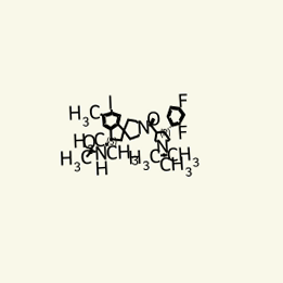 CC(=O)NC(C)(C)[C@H]1CC2(CCN(C(=O)C3CN(C(C)(C)C)C[C@H]3c3ccc(F)cc3F)CC2)c2cc(I)c(C)cc21